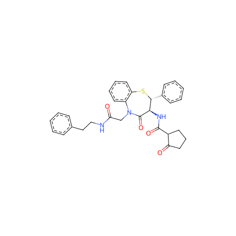 O=C(CN1C(=O)[C@H](NC(=O)C2CCCC2=O)[C@@H](c2ccccc2)Sc2ccccc21)NCCc1ccccc1